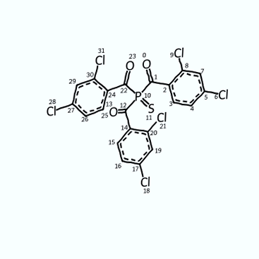 O=C(c1ccc(Cl)cc1Cl)P(=S)(C(=O)c1ccc(Cl)cc1Cl)C(=O)c1ccc(Cl)cc1Cl